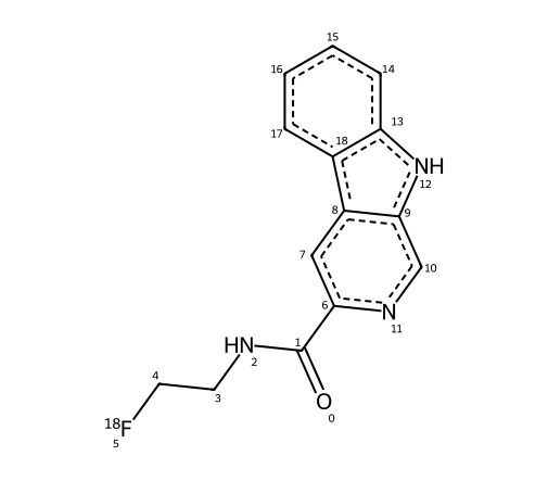 O=C(NCC[18F])c1cc2c(cn1)[nH]c1ccccc12